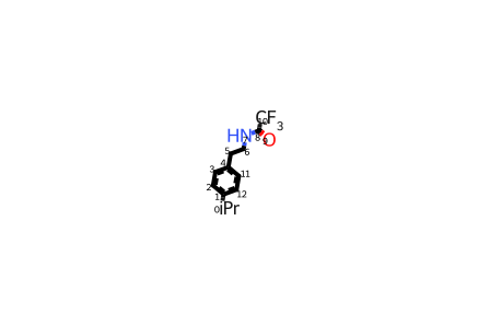 CC(C)c1ccc(CCNC(=O)C(F)(F)F)cc1